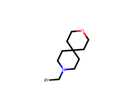 CC(C)CN1CCC2(CCOCC2)CC1